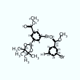 COC(=O)c1cc(Br)cc(B2OC(C)(C)C(C)(C)O2)c1.COC(=O)c1cc(Br)cc(I)c1